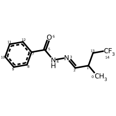 CC(C=NNC(=O)c1ccccc1)CC(F)(F)F